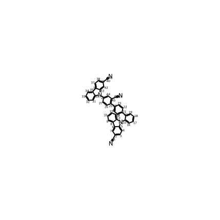 N#Cc1ccc2c(c1)c1ccccc1n2-c1ccccc1-c1ccc(-c2ccc(-n3c4ccccc4c4ccc(C#N)cc43)cc2C#N)cc1